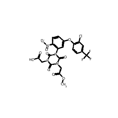 COC(=O)Cn1c(=O)n(CC(=O)O)c(=O)n(-c2cc(Oc3ccc(C(F)(F)F)cc3Cl)ccc2[N+](=O)[O-])c1=O